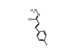 NN=C(Cl)C=Cc1ccc(F)cc1